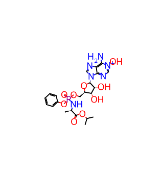 CC(C)OC(=O)[C@@H](C)NP(=O)(OC[C@H]1O[C@H](n2cnc3c(N)[n+](O)cnc32)[C@H](O)[C@@H]1O)Oc1ccccc1